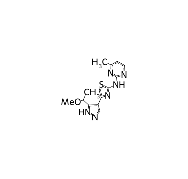 COC(C)c1[nH]ncc1-c1csc(Nc2nccc(C)n2)n1